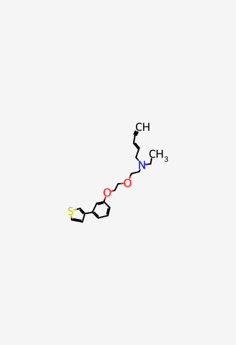 C#CC=CCN(CC)CCOCCOc1cccc(-c2ccsc2)c1